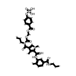 CCCNC(=O)c1ccc(C)c(NC(=N)c2c(C)c(C(=O)N(CCC)C(=O)OCOC(=O)c3ccc(OP(=O)(O)O)cc3)cn2C)c1